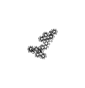 CC(c1ccc2c(ccc3cc(N(c4ccc5c(c4)sc4ncccc45)c4cc5ccccc5c5ccccc45)ccc32)c1)C(c1ccc2c(c1)sc1ccccc12)c1cc2ccccc2c2ccccc12